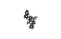 Cc1ccc2ccccc2c1-c1cccc2c1C=C(CC(C)C)C2c1[c]([Zr+2][SiH](C)C)ccc2c1Cc1ccccc1-2.[Cl-].[Cl-]